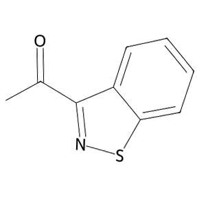 CC(=O)c1nsc2ccccc12